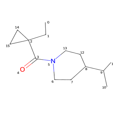 CCC1(C(=O)N2CCC(C(C)C)CC2)CC1